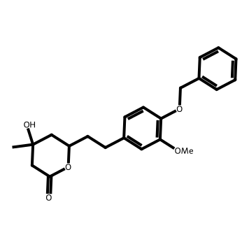 COc1cc(CCC2CC(C)(O)CC(=O)O2)ccc1OCc1ccccc1